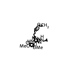 C=CC(=O)N1CCN(CCCc2cn3c(n2)c(Nc2c(Cl)c(OC)cc(OC)c2Cl)cc2cnc(NCC4CC4)nc23)CC1